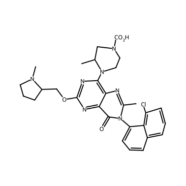 Cc1nc2c(N3CCN(C(=O)O)CC3C)nc(OCC3CCCN3C)nc2c(=O)n1-c1cccc2cccc(Cl)c12